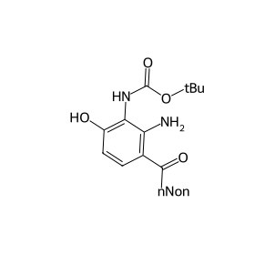 CCCCCCCCCC(=O)c1ccc(O)c(NC(=O)OC(C)(C)C)c1N